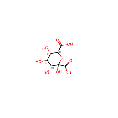 O=C(O)[C@H]1OC(O)(C(=O)O)[C@H](O)[C@@H](O)[C@@H]1O